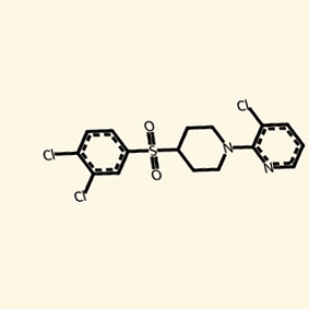 O=S(=O)(c1ccc(Cl)c(Cl)c1)C1CCN(c2ncccc2Cl)CC1